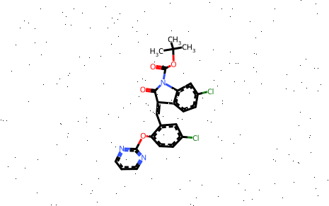 CC(C)(C)OC(=O)N1C(=O)/C(=C/c2cc(Cl)ccc2Oc2ncccn2)c2ccc(Cl)cc21